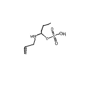 C=CCNC(CC)OS(=O)(=O)O